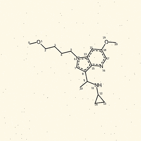 COCCCCn1cc(C(C)NC2CC2)c2ncc(OC)cc21